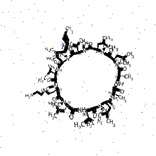 C/C=C/C[C@@H](C)[C@@H](O)[C@@H]1C(=O)N[C@H](C(C)C)C(=O)N(C)[C@H](CSCCN)C(=O)N(C)[C@@H](CC(C)C)C(=O)N[C@H](C(C)C)C(=O)N(C)C(CC(C)C)C(=O)N[C@H](C)C(=O)N[C@@H](C)C(=O)N(C)[C@H](CC(C)C)C(=O)N(C)[C@H](CC(C)C)C(=O)N(C)[C@H](C(C)C)C(=O)N1C